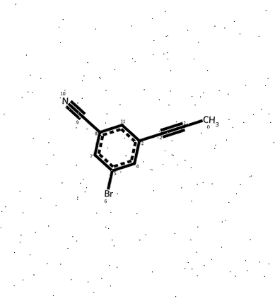 CC#Cc1cc(Br)cc(C#N)c1